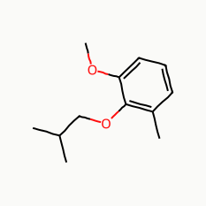 COc1cccc(C)c1OCC(C)C